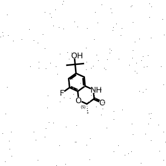 C[C@@H]1Oc2c(F)cc(C(C)(C)O)cc2NC1=O